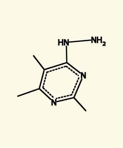 Cc1nc(C)c(C)c(NN)n1